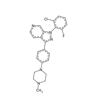 CN1CCN(c2ccc(-c3nn(-c4c(F)cccc4Cl)c4cnccc34)cc2)CC1